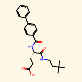 CC(C)(C)CCNC(=O)[C@H](CCC(=O)O)NC(=O)c1ccc(-c2ccccc2)cc1